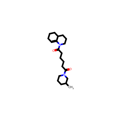 CC1CCCN(C(=O)CCCCC(=O)N2CCCC3CCCC=C32)C1